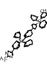 Cc1cccc([Si](c2ccccc2)(c2ccccc2)c2ccc(-c3ccc([Si](c4ccccc4)(c4ccccc4)c4ccc(-c5cnc(C)nc5)cc4)cc3)cc2)c1